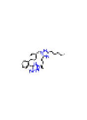 C=CCCc1nc(CCCCC)nn1Cc1ccc(-c2ccccc2-c2nnn[nH]2)cc1